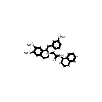 COc1cccc(CC2c3cc(OC)c(OC)cc3CCN2CC(=O)NC2CCCc3ccccc32)c1